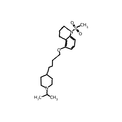 CC(C)N1CCC(CCCCOc2cccc3c2CCCN3S(C)(=O)=O)CC1